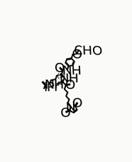 C=C(C)NCCC[C@H](NC(CC(C)C)C(=O)CCCCCN1C(=O)C=CC1=O)C(=O)Nc1ccc(COC=O)cc1